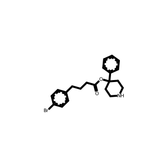 O=C(CCCc1ccc(Br)cc1)OC1(c2ccccc2)CCNCC1